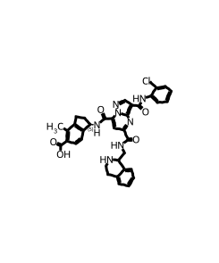 Cc1c(C(=O)O)ccc2c1CC[C@@H]2NC(=O)c1cc(C(=O)NCC2NCCc3ccccc32)nc2c(C(=O)Nc3ccccc3Cl)cnn12